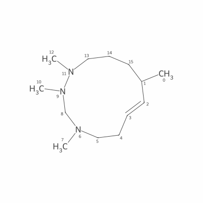 CC1/C=C/CCN(C)CN(C)N(C)CCC1